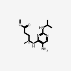 COC(=O)CC[C@H](C)Nc1nc(NC(C)C)ncc1N